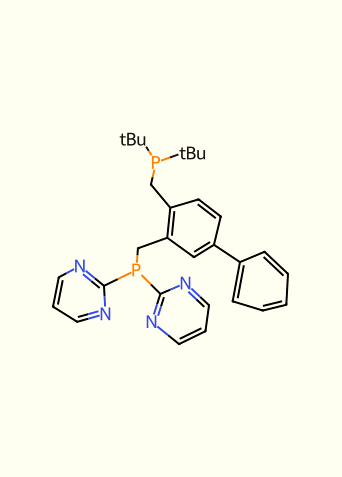 CC(C)(C)P(Cc1ccc(-c2ccccc2)cc1CP(c1ncccn1)c1ncccn1)C(C)(C)C